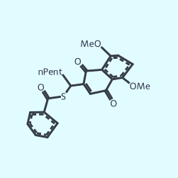 CCCCCC(SC(=O)c1ccccc1)C1=CC(=O)c2c(OC)ccc(OC)c2C1=O